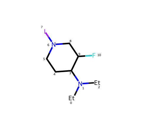 CCN(CC)C1CCN(I)CC1F